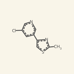 Cc1nc(-c2cncc(Cl)c2)cs1